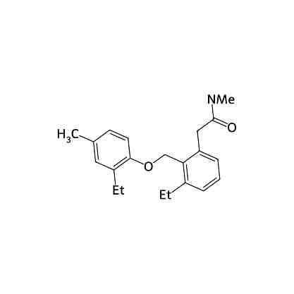 CCc1cc(C)ccc1OCc1c(CC)cccc1CC(=O)NC